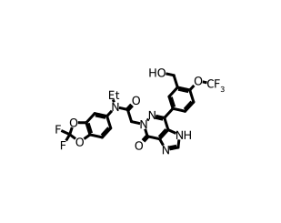 CCN(C(=O)Cn1nc(-c2ccc(OC(F)(F)F)c(CO)c2)c2[nH]cnc2c1=O)c1ccc2c(c1)OC(F)(F)O2